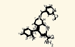 COc1cc(CN2CCc3c(-c4ccc(C)cc4F)cc(C(N)=O)nc3C2)ccn1